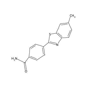 Cc1ccc2nc(-c3ccc(C(N)=O)cc3)sc2c1